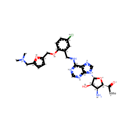 CNC(=O)[C@H]1O[C@@H](n2cnc3c(NCc4cc(Cl)ccc4OCc4ccc(CN(C)C)o4)ncnc32)[C@H](O)[C@@H]1N